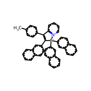 Cc1ccc(C2=C(c3ccc4ccccc4c3)[B-](c3ccc4ccccc4c3)(c3ccc4ccccc4c3)[n+]3ccccc32)cc1